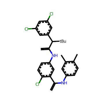 C=C(Nc1ccc(C)c(C)c1)c1cc(NC(=C)C(c2cc(Cl)cc(Cl)c2)C(C)(C)C)ccc1Cl